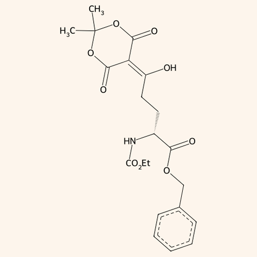 CCOC(=O)N[C@H](CCC(O)=C1C(=O)OC(C)(C)OC1=O)C(=O)OCc1ccccc1